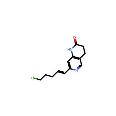 O=C1CCc2cnc(C=CCCCCl)cc2N1